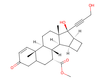 COC(=O)[C@@H]1CC2CC(=O)C=C[C@]2(C)[C@H]2CC[C@@]3(C)[C@@H]([C@@H]4CC[C@@H]4[C@@]3(O)C#CCO)[C@H]12